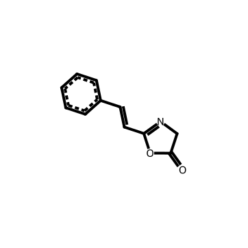 O=C1CN=C(C=Cc2ccccc2)O1